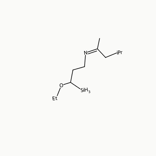 CCOC([SiH3])CCN=C(C)CC(C)C